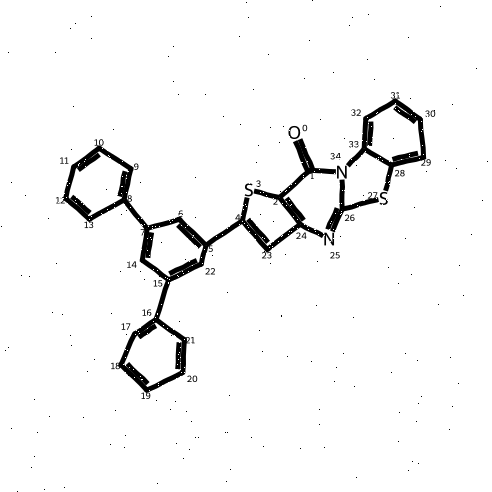 O=c1c2sc(-c3cc(-c4ccccc4)cc(-c4ccccc4)c3)cc2nc2sc3ccccc3n12